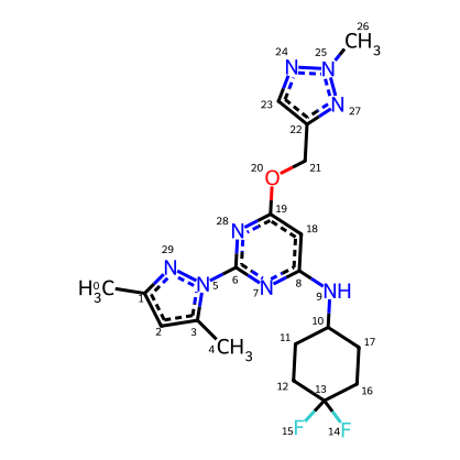 Cc1cc(C)n(-c2nc(NC3CCC(F)(F)CC3)cc(OCc3cnn(C)n3)n2)n1